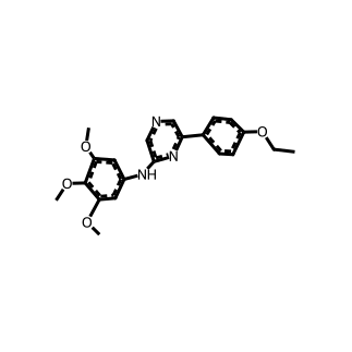 CCOc1ccc(-c2cncc(Nc3cc(OC)c(OC)c(OC)c3)n2)cc1